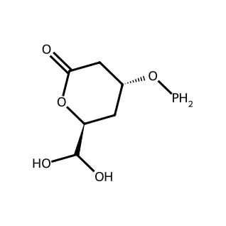 O=C1C[C@H](OP)C[C@@H](C(O)O)O1